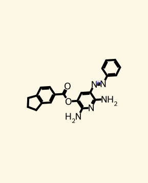 Nc1nc(N)c(OC(=O)c2ccc3c(c2)CCC3)cc1/N=N/c1ccccc1